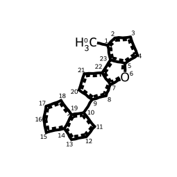 Cc1cccc2oc3cc(-c4cccc5ccccc45)ccc3c12